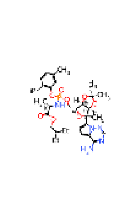 CCC(CC)COC(=O)[C@H](C)NP(=O)(OC[C@H]1O[C@@](C)(c2ccc3c(N)ncnn23)[C@@H]2OC(C)(C)O[C@@H]21)Oc1cc(C)ccc1C(C)C